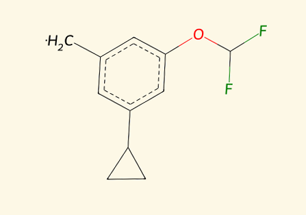 [CH2]c1cc(OC(F)F)cc(C2CC2)c1